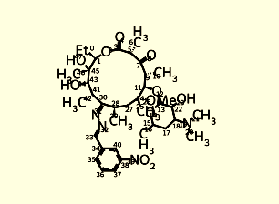 CC[C@H]1OC(=O)[C@H](C)C(=O)[C@H](C)[C@@H](OC2OC(C)CC(N(C)C)C2O)[C@](C)(OC)C[C@@H](C)/C(=N\N=C\c2cccc([N+](=O)[O-])c2)[C@H](C)[C@@H](O)[C@]1(C)O